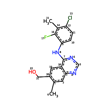 Cc1cc2ncnc(Nc3ccc(Cl)c(C)c3F)c2cc1CO